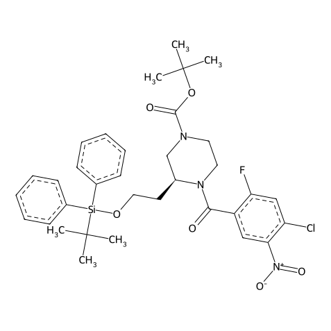 CC(C)(C)OC(=O)N1CCN(C(=O)c2cc([N+](=O)[O-])c(Cl)cc2F)[C@@H](CCO[Si](c2ccccc2)(c2ccccc2)C(C)(C)C)C1